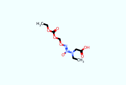 CCOC(=O)OCO/N=[N+](\[O-])N(CC)CC(=O)O